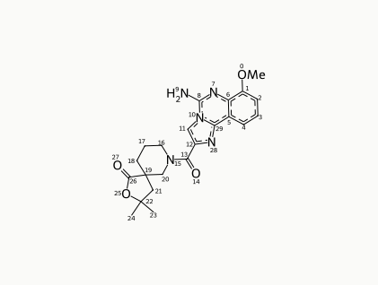 COc1cccc2c1nc(N)n1cc(C(=O)N3CCCC4(C3)CC(C)(C)OC4=O)nc21